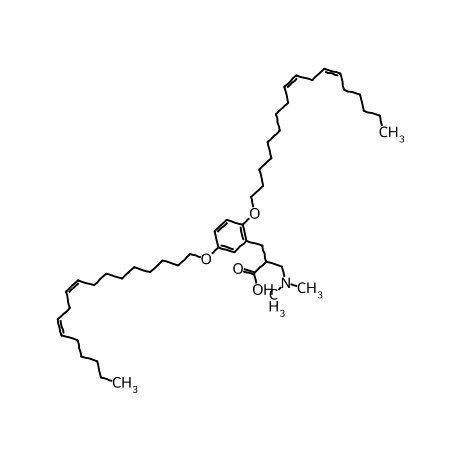 CCCCC/C=C\C/C=C\CCCCCCCCOc1ccc(OCCCCCCCC/C=C\C/C=C\CCCCC)c(CC(CN(C)C)C(=O)O)c1